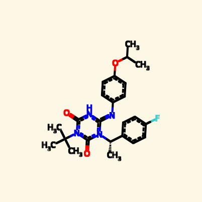 CC(C)Oc1ccc(/N=c2\[nH]c(=O)n(C(C)(C)C)c(=O)n2[C@@H](C)c2ccc(F)cc2)cc1